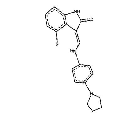 O=C1Nc2cccc(F)c2/C1=C\Nc1ccc(N2CCCC2)cc1